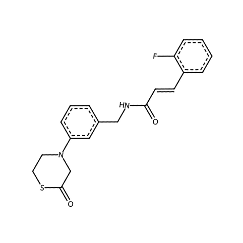 O=C(C=Cc1ccccc1F)NCc1cccc(N2CCSC(=O)C2)c1